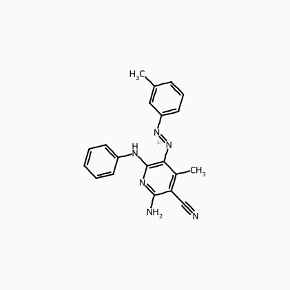 Cc1cccc(/N=N/c2c(Nc3ccccc3)nc(N)c(C#N)c2C)c1